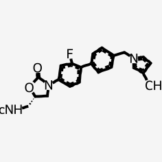 CC(=O)NC[C@H]1CN(c2ccc(-c3ccc(Cn4ccc(C=O)c4)cc3)c(F)c2)C(=O)O1